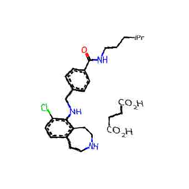 CC(C)CCCNC(=O)c1ccc(CNc2c(Cl)ccc3c2CCNCC3)cc1.O=C(O)CCC(=O)O